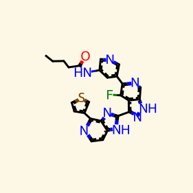 CCCCC(=O)Nc1cncc(-c2ncc3[nH]nc(-c4nc5c(-c6ccsc6)nccc5[nH]4)c3c2F)c1